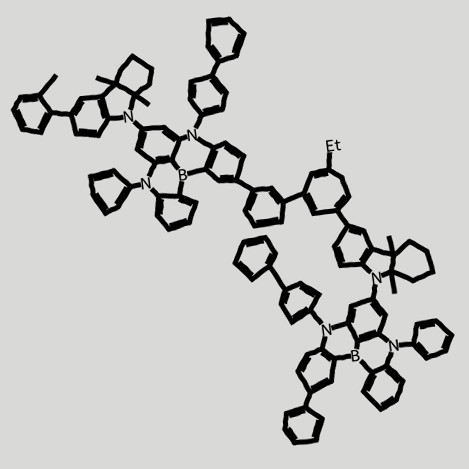 CCC1=CC(c2cccc(-c3ccc4c(c3)B3c5ccccc5N(c5ccccc5)c5cc(N6c7ccc(-c8ccccc8C)cc7C7(C)CCCCC67C)cc(c53)N4c3ccc(-c4ccccc4)cc3)c2)=CC(c2ccc3c(c2)C2(C)CCCCC2(C)N3c2cc3c4c(c2)N(c2ccc(-c5ccccc5)cc2)c2ccc(-c5ccccc5)cc2B4c2ccccc2N3c2ccccc2)=CC1